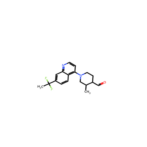 CC1CN(c2ccnc3cc(C(C)(F)F)ccc23)CCC1C=O